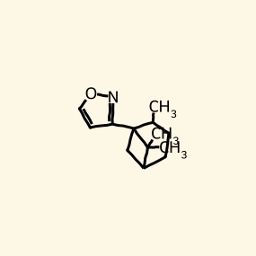 CC1CCC2CC1(c1ccon1)C2(C)C